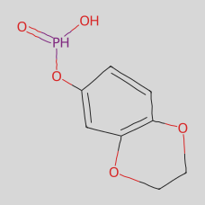 O=[PH](O)Oc1ccc2c(c1)OCCO2